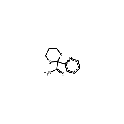 NC(=S)C1(c2ccccn2)SCCCS1